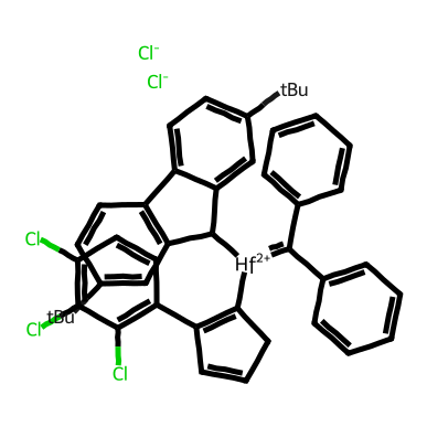 CC(C)(C)c1ccc2c(c1)[CH]([Hf+2]([C]1=C(c3ccc(Cl)c(Cl)c3Cl)C=CC1)=[C](c1ccccc1)c1ccccc1)c1cc(C(C)(C)C)ccc1-2.[Cl-].[Cl-]